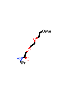 CCCNC(=O)COCCOCCOC